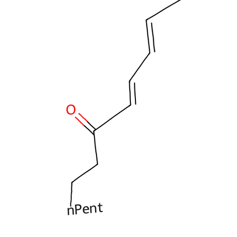 CC=CC=CC(=O)CCCCCCC